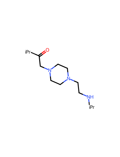 CC(C)NCCN1CCN(CC(=O)C(C)C)CC1